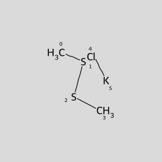 CSSC.[Cl][K]